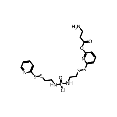 NCCC(=O)Oc1cccc(SSCCNP(=O)(Cl)NCCSSc2ccccn2)n1